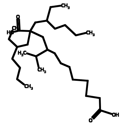 CCCCC(CC)CC(CC(CC)CCCC)(CC(CCCCCCCC(=O)O)C(C)C)C(=O)O